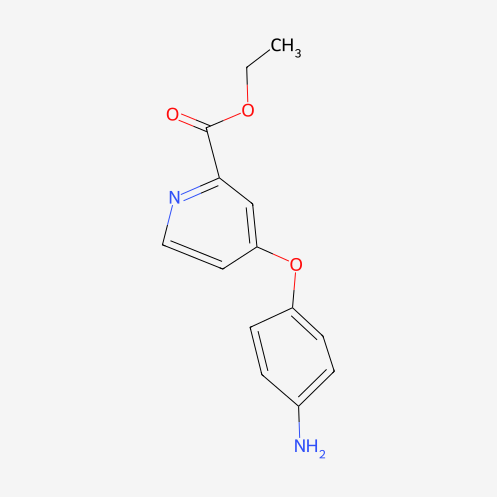 CCOC(=O)c1cc(Oc2ccc(N)cc2)ccn1